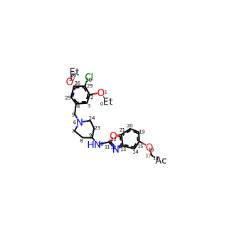 CCOc1cc(CN2CCC(Nc3nc4cc(OCC(C)=O)ccc4o3)CC2)cc(OCC)c1Cl